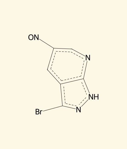 O=Nc1cnc2[nH]nc(Br)c2c1